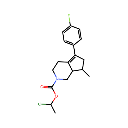 CC(Cl)OC(=O)N1CCC2=C(c3ccc(F)cc3)CC(C)C2C1